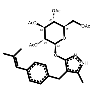 CC(=O)OC[C@H]1O[C@@H](Oc2n[nH]c(C)c2Cc2ccc(C=C(C)C)cc2)[C@H](OC(C)=O)[C@@H](OC(C)=O)[C@@H]1OC(C)=O